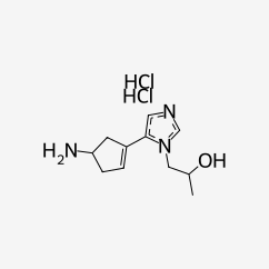 CC(O)Cn1cncc1C1=CCC(N)C1.Cl.Cl